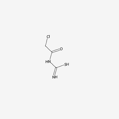 N=C(S)NC(=O)CCl